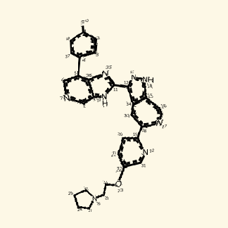 Fc1ccc(-c2cncc3[nH]c(-c4n[nH]c5cnc(-c6ccc(OCCN7CCCC7)cn6)cc45)nc23)cc1